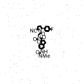 CNC(=O)Nc1ccc2c(c1)CCC21OC(=O)N(CC(=O)N2[C@@H](C#N)CC[C@H]2c2ccc(F)cc2)C1=O